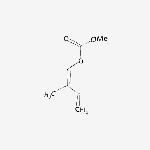 C=CC(C)=COC(=O)OC